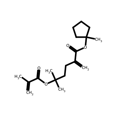 C=C(C)C(=O)OC(C)(C)CCC(=C)C(=O)OC1(C)CCCC1